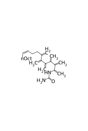 C=C(CC/C=C\CCCCCCCC)C(=C)C(=C)C(=C)C(=C)C(=C)NC(N)=O